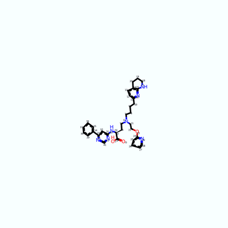 O=C(O)[C@H](CCN(CCCCc1ccc2c(n1)NCCC2)CCOc1ccccn1)Nc1cc(-c2ccccc2)ncn1